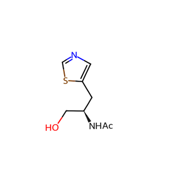 CC(=O)N[C@@H](CO)Cc1cncs1